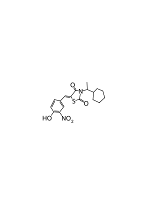 CC(C1CCCCC1)N1C(=O)S/C(=C\c2ccc(O)c([N+](=O)[O-])c2)C1=O